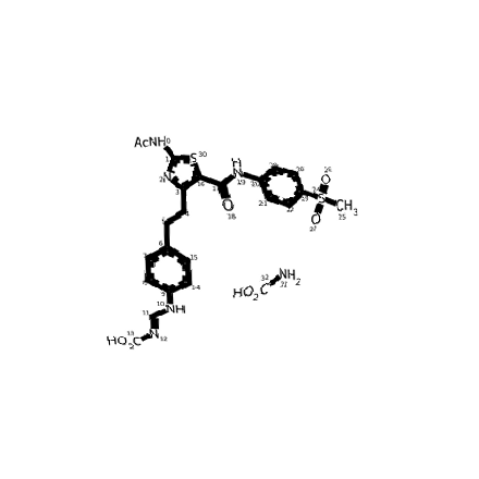 CC(=O)Nc1nc(CCc2ccc(NC=NC(=O)O)cc2)c(C(=O)Nc2ccc(S(C)(=O)=O)cc2)s1.NC(=O)O